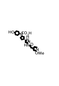 COc1cc(CC(=O)Nc2cc([C@@H]3CC[C@H](N(C(=O)O)[C@H]4CC[C@H](O)CC4)C3)[nH]n2)ccn1